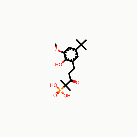 COc1cc(C(C)(C)C)cc(CCC(=O)C(C)(C)P(=O)(O)O)c1O